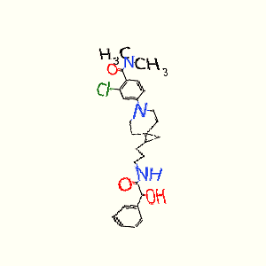 CN(C)C(=O)c1ccc(N2CCC3(CC2)CC3CCCNC(=O)C(O)c2ccccc2)cc1Cl